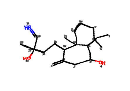 C=C1CC(O)C2C(C)(C)CCCC2(C)C1CCC(C)(O)C=N